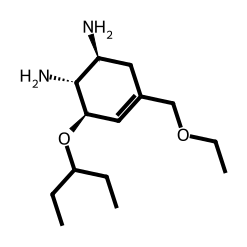 CCOCC1=C[C@@H](OC(CC)CC)[C@H](N)[C@@H](N)C1